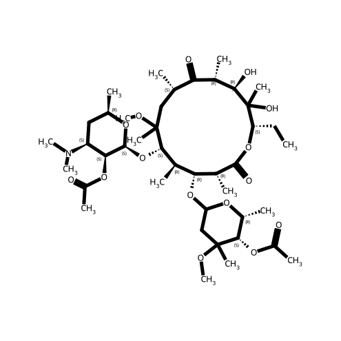 CC[C@@H]1OC(=O)[C@H](C)[C@H](OC2CC(C)(OC)[C@@H](OC(C)=O)[C@@H](C)O2)[C@@H](C)[C@H](O[C@@H]2O[C@H](C)C[C@H](N(C)C)[C@@H]2OC(C)=O)C(C)(OC)C[C@H](C)C(=O)[C@H](C)[C@@H](O)C1(C)O